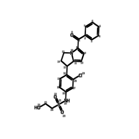 O=C(c1ccccc1)c1ccc2n1CCC2c1ccc(NS(=O)(=O)CCO)cc1Cl